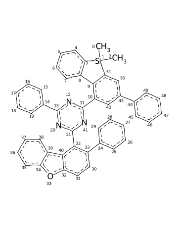 C[Si]1(C)c2ccccc2-c2c(-c3nc(-c4ccccc4)nc(-c4c(-c5ccccc5)ccc5oc6ccccc6c45)n3)cc(-c3ccccc3)cc21